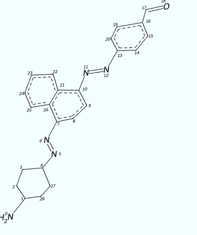 NC1CCC(N=Nc2ccc(N=Nc3ccc(C=O)cc3)c3ccccc23)CC1